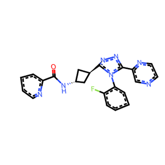 O=C(N[C@H]1C[C@H](c2nnc(-c3cnccn3)n2-c2ccccc2F)C1)c1ccccn1